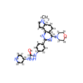 Cn1ccc2c3nc(-c4ccc(NC(=O)Nc5ccncc5)cc4)nc(N4CCOCC4)c3ccc21